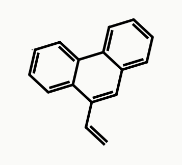 C=Cc1cc2ccccc2c2c[c]ccc12